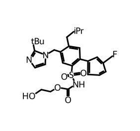 CC(C)Cc1cc(-c2cccc(F)c2)c(S(=O)(=O)NC(=O)OCCO)cc1Cn1ccnc1C(C)(C)C